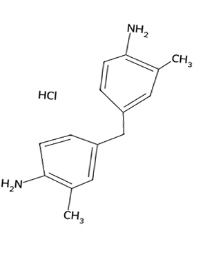 Cc1cc(Cc2ccc(N)c(C)c2)ccc1N.Cl